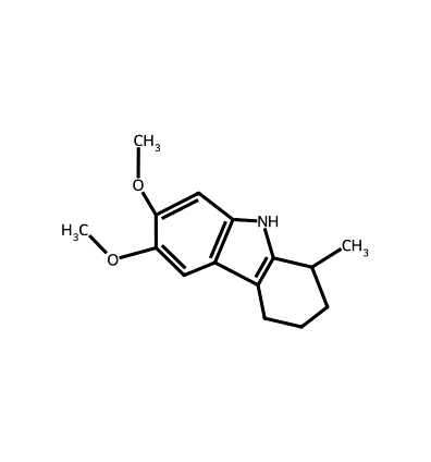 COc1cc2[nH]c3c(c2cc1OC)CCCC3C